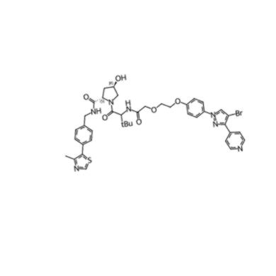 Cc1ncsc1-c1ccc(CNC(=O)[C@@H]2C[C@@H](O)CN2C(=O)C(NC(=O)COCCOc2ccc(-n3cc(Br)c(-c4ccncc4)n3)cc2)C(C)(C)C)cc1